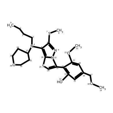 CCCCN(c1c(SC)nn2c(-c3c(O)cc(COC)cc3OC)csc12)C1CCOCC1